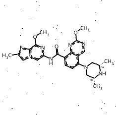 COc1ncc2c(N3C[C@@H](C)N[C@@H](C)C3)ccc(C(=O)Nc3cn4cc(C)nc4c(OC)n3)c2n1